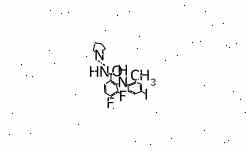 Cc1cc(I)ccc1Nc1c(C(=O)NCCN2CCCC2)ccc(F)c1F